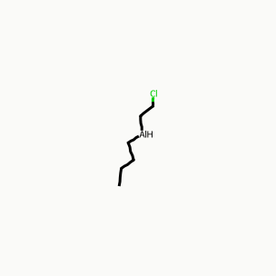 CCC[CH2][AlH][CH2]CCl